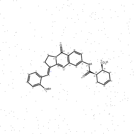 COc1ccccc1/C=C1\CCn2c1nc1cc(NC(=O)[C@@H]3CC=CC[C@@H]3C(=O)O)ccc1c2=O